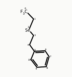 FC(F)(F)C[Se]CCc1ccccc1